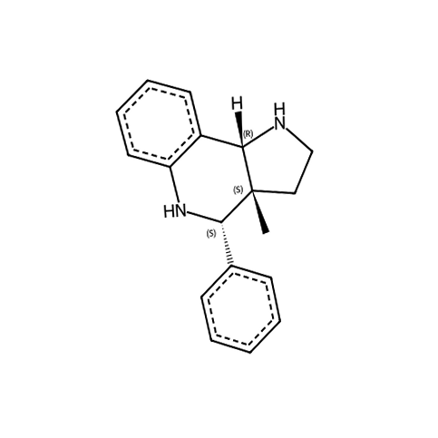 C[C@]12CCN[C@H]1c1ccccc1N[C@H]2c1ccccc1